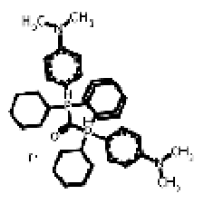 CN(C)c1ccc([PH](C(=O)[PH](c2ccc(N(C)C)cc2)(C2CCCCC2)C2CCCCC2)(C2CCCCC2)C2CCCCC2)cc1.[Ir]